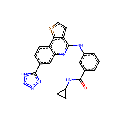 O=C(NC1CC1)c1cccc(Nc2nc3cc(-c4nnn[nH]4)ccc3c3sccc23)c1